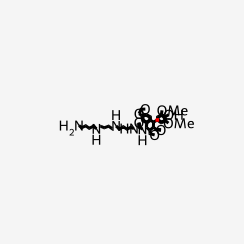 COc1cc(C2c3cc4c(cc3C(NC(=O)NCCCCNCCCCNCCCCN)C3COC(=O)C23)OCO4)cc(OC)c1O